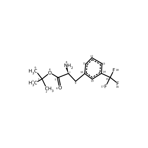 CC(C)(C)OC(=O)[C@@H](N)Cc1cccc(C(F)(F)F)c1